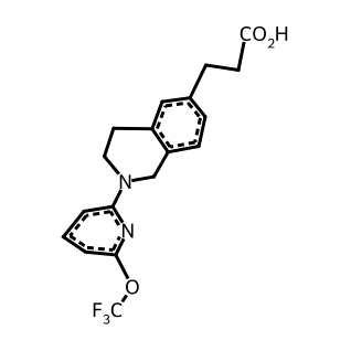 O=C(O)CCc1ccc2c(c1)CCN(c1cccc(OC(F)(F)F)n1)C2